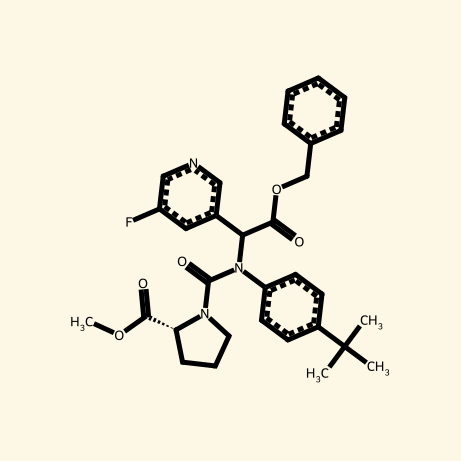 COC(=O)[C@H]1CCCN1C(=O)N(c1ccc(C(C)(C)C)cc1)C(C(=O)OCc1ccccc1)c1cncc(F)c1